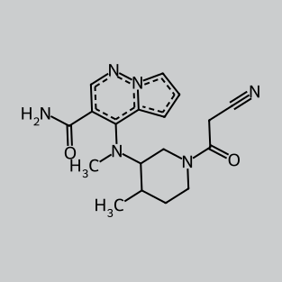 CC1CCN(C(=O)CC#N)CC1N(C)c1c(C(N)=O)cnn2cccc12